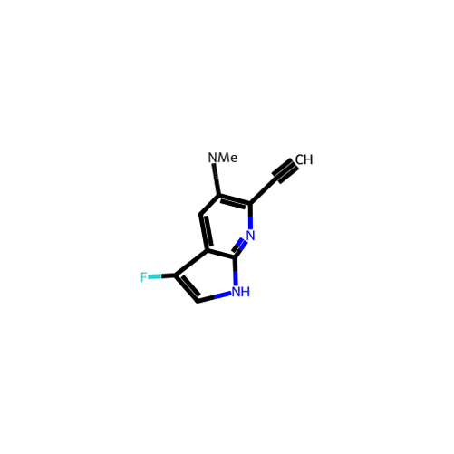 C#Cc1nc2[nH]cc(F)c2cc1NC